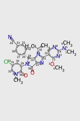 COc1nc(N(C)C)ncc1-c1nc2c(n1C(C)C)[C@@H](c1ccc(C#N)cc1)N(c1cc(Cl)cn(C)c1=O)C2=O